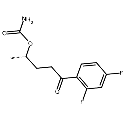 C[C@@H](CCC(=O)c1ccc(F)cc1F)OC(N)=O